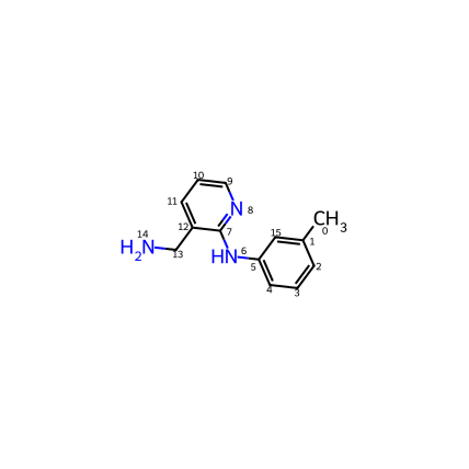 Cc1cccc(Nc2ncccc2CN)c1